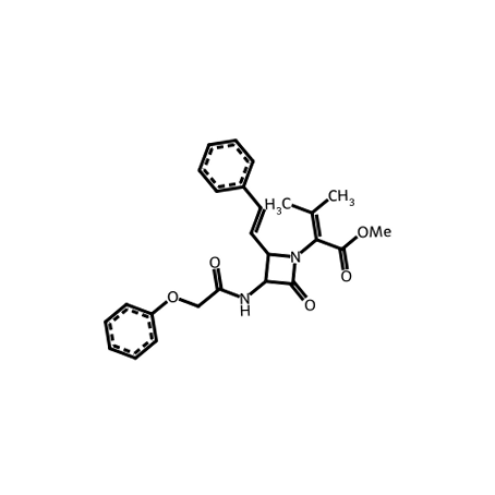 COC(=O)C(=C(C)C)N1C(=O)C(NC(=O)COc2ccccc2)C1C=Cc1ccccc1